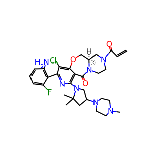 C=CC(=O)N1CCN2C(=O)c3c(N4CC(N5CCN(C)CC5)CC4(C)C)nc(-c4c(N)cccc4F)c(Cl)c3OC[C@H]2C1